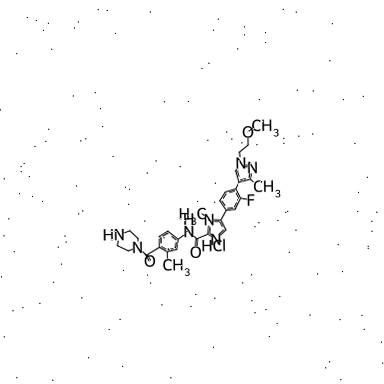 COCCn1cc(-c2ccc(-c3cnc(C(=O)Nc4ccc(C(=O)N5CCNCC5)c(C)c4)n3C)cc2F)c(C)n1.Cl